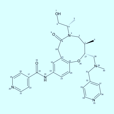 C[C@@H]1CN([C@@H](C)CO)C(=O)Cc2cc(NC(=O)c3ccncc3)ccc2O[C@H]1CN(C)Cc1ccncc1